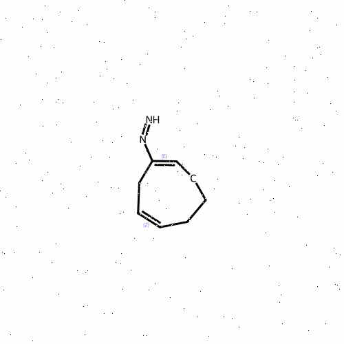 N=N/C1=C/CCC/C=C\C1